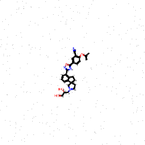 CC(C)Oc1ccc(-c2nc(-c3cccc4c3CCC43CCN(C[C@H](O)CO)C3)no2)cc1C#N